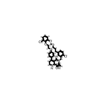 COCCCc1ccc(Cl)c(CN(C(=O)C2=C(c3ccc(OCCOc4c(Cl)cccc4Cl)cc3)CCNC2CO)C2CC2)c1